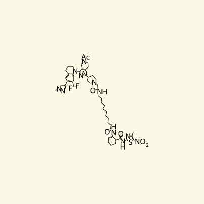 CC(=O)N1CCc2c(c(N3CCCc4cc(-c5cnn(C)c5)c(C(F)F)cc43)nn2C2CCN(CC(=O)NCCCCCCCCCCC(=O)Nc3ccccc3C(=O)Nc3nc(C)c([N+](=O)[O-])s3)CC2)C1